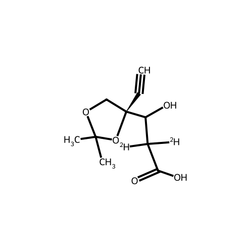 [2H]C([2H])(C(=O)O)C(O)[C@@]1(C#C)COC(C)(C)O1